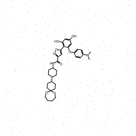 CN(C)c1ccc(Oc2cc(O)cc(O)c2-c2cc(C(=O)NC3CCN(C4CCC5(CC4)OCCCCO5)CC3)no2)cc1